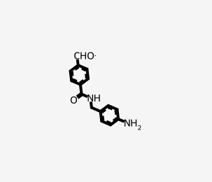 Nc1ccc(CNC(=O)c2ccc([C]=O)cc2)cc1